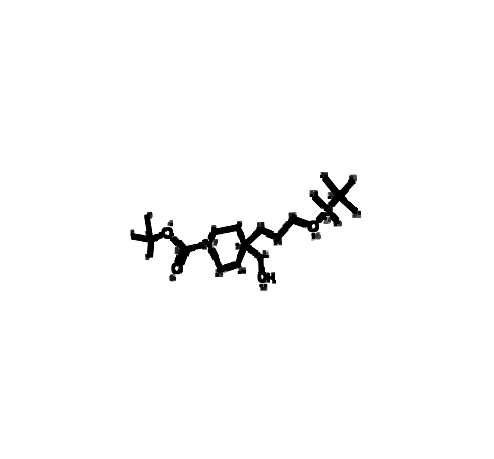 CC(C)(C)OC(=O)N1CCC(CO)(CCCO[Si](C)(C)C(C)(C)C)CC1